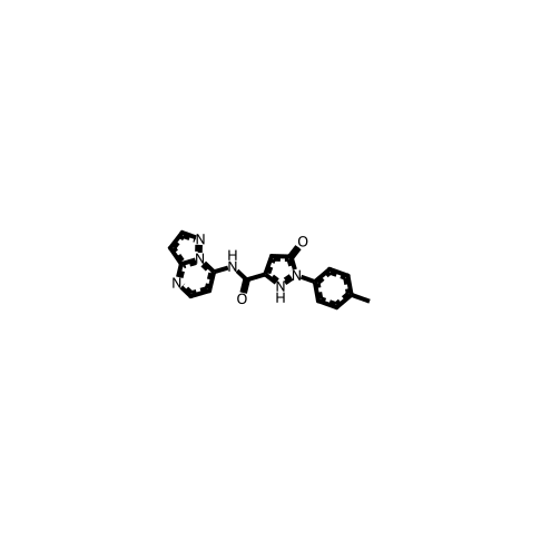 Cc1ccc(-n2[nH]c(C(=O)Nc3ccnc4ccnn34)cc2=O)cc1